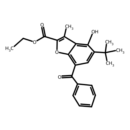 CCOC(=O)c1oc2c(C(=O)c3ccccc3)cc(C(C)(C)C)c(O)c2c1C